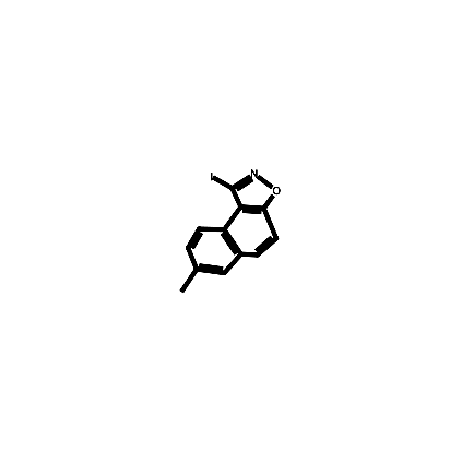 Cc1ccc2c(ccc3onc(I)c32)c1